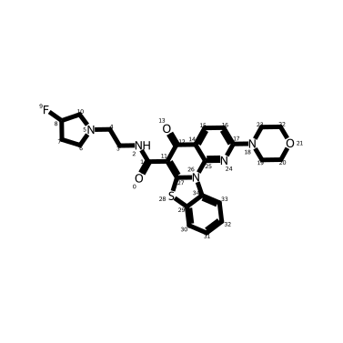 O=C(NCCN1CCC(F)C1)c1c(=O)c2ccc(N3CCOCC3)nc2n2c1sc1ccccc12